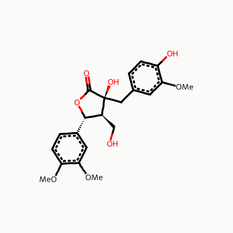 COc1cc(C[C@@]2(O)C(=O)O[C@@H](c3ccc(OC)c(OC)c3)[C@@H]2CO)ccc1O